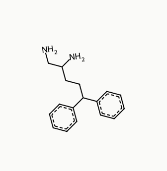 NCC(N)CCC(c1ccccc1)c1ccccc1